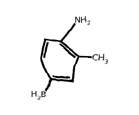 Bc1ccc(N)c(C)c1